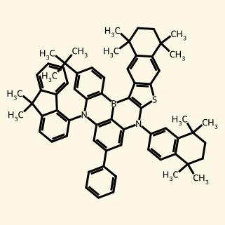 CC(C)(C)c1ccc2c(c1)N(c1cccc3c1-c1ccccc1C3(C)C)c1cc(-c3ccccc3)cc3c1B2c1c(sc2cc4c(cc12)C(C)(C)CCC4(C)C)N3c1ccc2c(c1)C(C)(C)CCC2(C)C